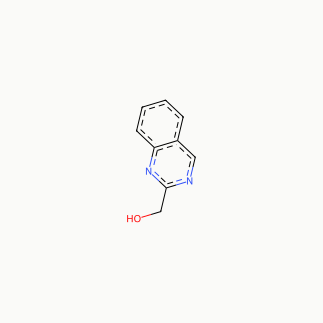 OCc1ncc2ccccc2n1